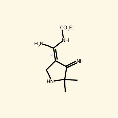 CCOC(=O)N/C(N)=C1/CNC(C)(C)C1=N